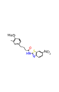 COc1ccc(CCCC(=O)Nc2nc3ccc([N+](=O)[O-])cc3s2)cc1C